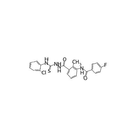 Cc1c(NC(=O)c2ccc(F)cc2)cccc1C(=O)NNC(=S)Nc1ccccc1Cl